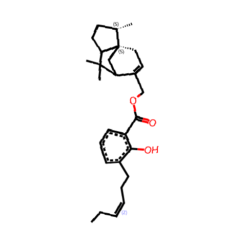 CC/C=C\CCc1cccc(C(=O)OCC2=CC[C@]34CC2C(C)(C)C3CC[C@@H]4C)c1O